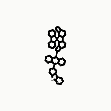 c1ccc2c(c1)-c1ccccc1C21c2c(ccc3ccccc23)-c2ccc3cc(-c4c5ccccc5c(-c5ccc6oc7ccccc7c6c5)c5ccccc45)ccc3c21